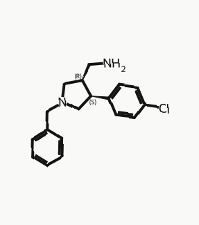 NC[C@@H]1CN(Cc2ccccc2)C[C@@H]1c1ccc(Cl)cc1